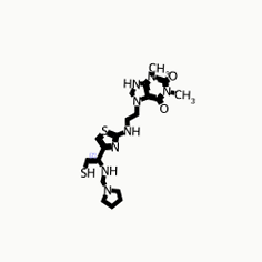 Cn1c2c(c(=O)n(C)c1=O)N(CCNc1nc(/C(=C/S)NCN3CCCC3)cs1)CN2